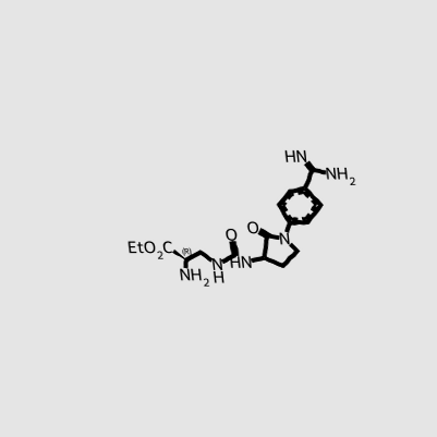 CCOC(=O)[C@H](N)CNC(=O)NC1CCN(c2ccc(C(=N)N)cc2)C1=O